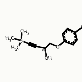 C[Si](C)(C)C#C[C@H](O)COc1ccc(F)cc1